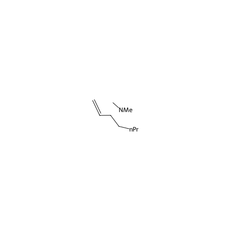 C=CCCCCC.CNC